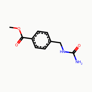 COC(=O)c1ccc(CNC(N)=O)cc1